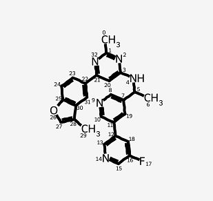 Cc1nc(NC(C)c2cncc(-c3cncc(F)c3)c2)cc(-c2ccc3occ(C)c3c2)n1